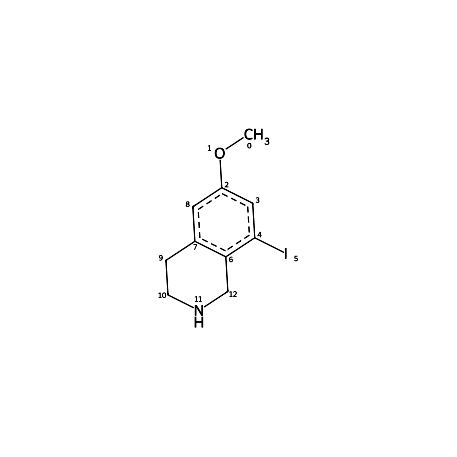 COc1cc(I)c2c(c1)CCNC2